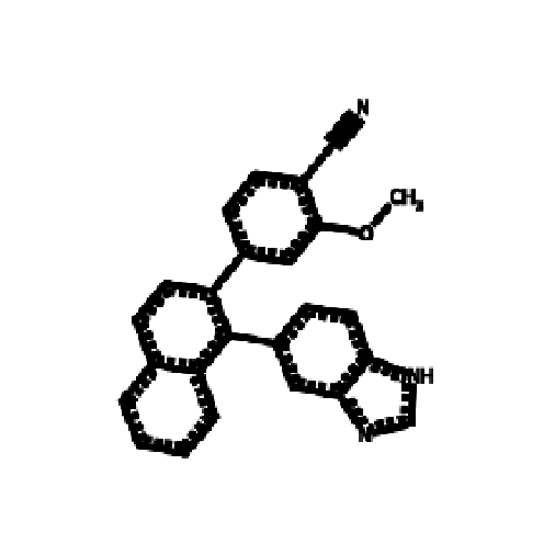 COc1cc(-c2ccc3ccccc3c2-c2ccc3[nH]cnc3c2)ccc1C#N